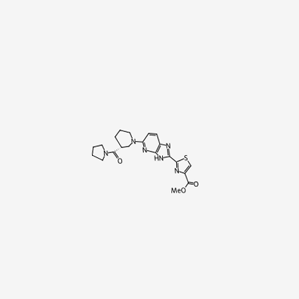 COC(=O)c1csc(-c2nc3ccc(N4CCC[C@@H](C(=O)N5CCCC5)C4)nc3[nH]2)n1